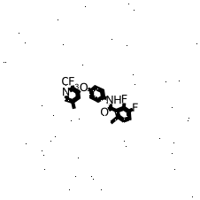 Cc1cnc(C(F)(F)F)c(Oc2ccc(NC(=O)c3c(C)ccc(F)c3F)cc2)c1